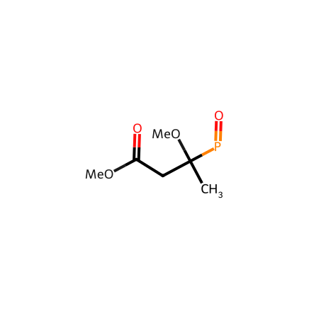 COC(=O)CC(C)(OC)P=O